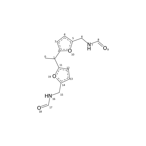 CC(c1ccc(CNC=O)o1)c1ccc(CNC=O)o1